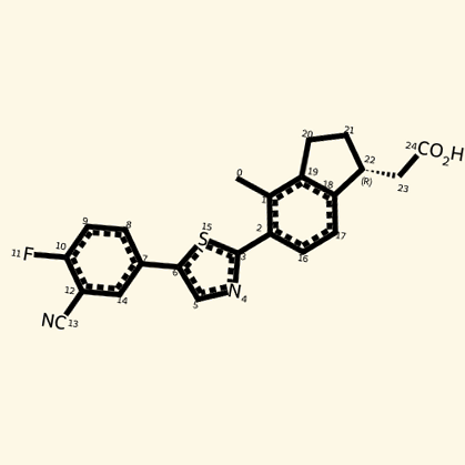 Cc1c(-c2ncc(-c3ccc(F)c(C#N)c3)s2)ccc2c1CC[C@@H]2CC(=O)O